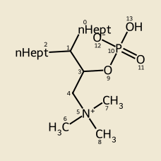 CCCCCCCC(CCCCCCC)C(C[N+](C)(C)C)OP(=O)([O-])O